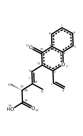 C=Cc1oc2ccccc2c(=O)c1/C=C(\C)[C@@H](C)C(=O)O